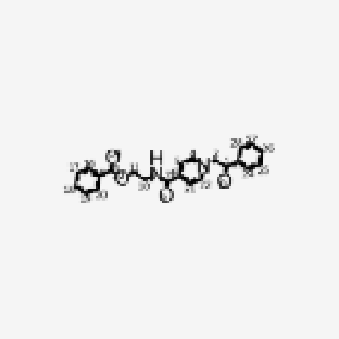 O=C(C[n+]1ccc(C(=O)NCCOC(=O)c2ccccc2)cc1)c1ccccc1